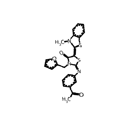 CC(=O)c1cccc(/N=C2/S/C(=C3\Sc4ccccc4N3C)C(=O)N2Cc2ccco2)c1